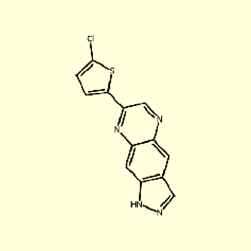 Clc1ccc(-c2cnc3cc4cn[nH]c4cc3n2)s1